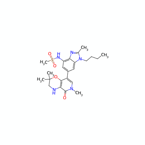 CCCCn1c(C)nc2c(NS(C)(=O)=O)cc(-c3cn(C)c(=O)c4c3OC(C)(C)CN4)cc21